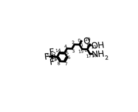 CC(CCCc1cccc(C(F)(F)F)c1)CC(CN)C(=O)O